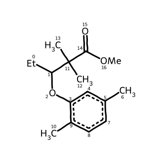 CCC(Oc1cc(C)ccc1C)C(C)(C)C(=O)OC